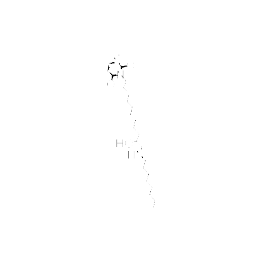 CCCCCCCCNCC(O)CCCCCCCCCn1c(=O)ccn(C)c1=O